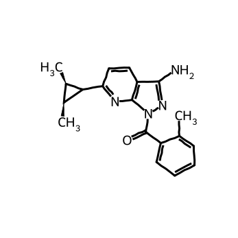 Cc1ccccc1C(=O)n1nc(N)c2ccc(C3[C@@H](C)[C@H]3C)nc21